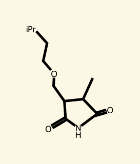 CC(C)CCOCC1C(=O)NC(=O)C1C